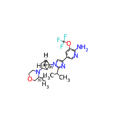 CC(C)c1nc(-c2cnc(N)c(OC(F)(F)F)c2)cn1[C@]12C3C(N4CCOC[C@@H]4C)C[C@@H]1[C@H]32